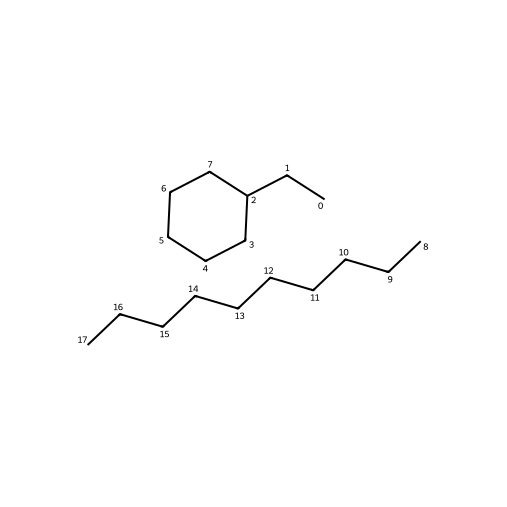 CCC1CCCCC1.CCCCCCCCCC